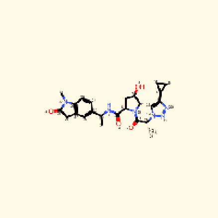 CC(NC(=O)C1CC(O)CN1C(=O)[C@H](n1cc(C2CC2)nn1)C(C)(C)C)c1ccc2c(c1)CC(=O)N2C